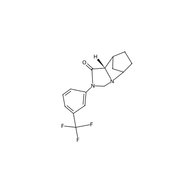 O=C1[C@@H]2C3CCC(C3)N2CN1c1cccc(C(F)(F)F)c1